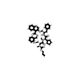 C=CCOC(=O)N(C)[C@H](CC(C)C)C(=O)N(C)[C@@H](C(=O)N[C@@H](COc1cnc2ccccc2c1C(=O)OCc1ccccc1)Cc1ccccc1)C1CCCC1